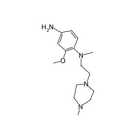 COc1cc(N)ccc1N(C)CCN1CCN(C)CC1